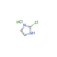 Cl.Clc1ncc[nH]1